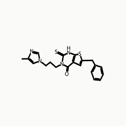 Cc1cn(CCCn2c(=S)[nH]c3sc(Cc4ccccc4)cc3c2=O)cn1